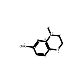 CN1CCOc2ccc(C=O)cc21